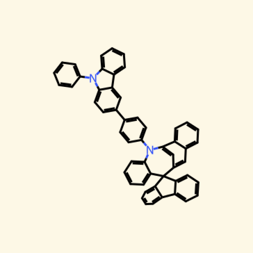 c1ccc(-n2c3ccccc3c3cc(-c4ccc(N5c6ccccc6C6(c7cc5c5ccccc5c7)c5ccccc5-c5ccccc56)cc4)ccc32)cc1